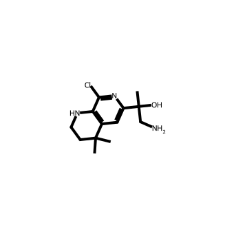 CC1(C)CCNc2c1cc(C(C)(O)CN)nc2Cl